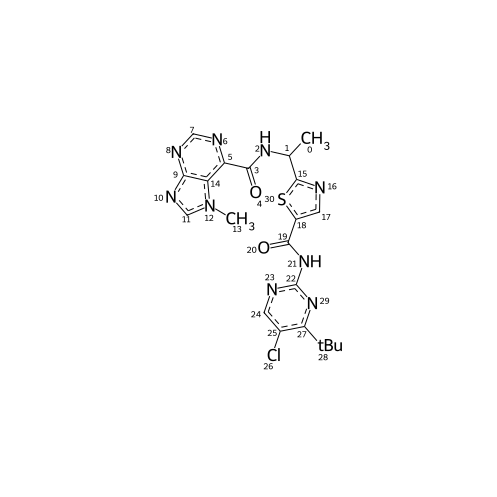 CC(NC(=O)c1ncnc2ncn(C)c12)c1ncc(C(=O)Nc2ncc(Cl)c(C(C)(C)C)n2)s1